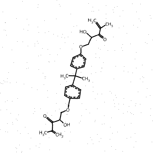 C=C(C)C(=O)C(O)COc1ccc(C(C)(C)c2ccc(OCC(O)C(=O)C(=C)C)cc2)cc1